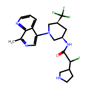 Cc1ncc(N2C[C@H](NC(=O)C(F)C3CCNC3)C[C@H](C(F)(F)F)C2)c2cccnc12